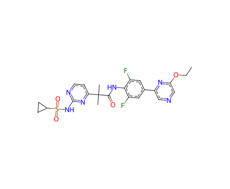 CCOc1cncc(-c2cc(F)c(NC(=O)C(C)(C)c3ccnc(NS(=O)(=O)C4CC4)n3)c(F)c2)n1